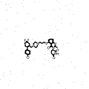 Cc1nc2cccc(SCCCN3CCN(CC4=C(c5ccc(Cl)cc5)CCC(F)(F)C4)CC3)c2c(=O)n1C1CCC(=O)NC1=O